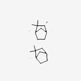 CC1(C)C[C@@]2(C)CC[C@@H]1C2.C[C@H]1[C@H]2CC[C@H](C2)C1(C)C